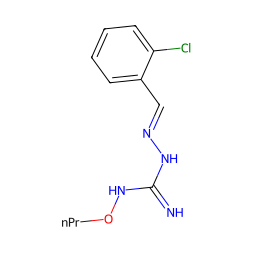 CCCONC(=N)N/N=C/c1ccccc1Cl